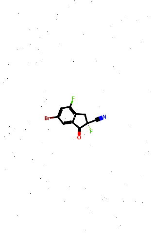 N#C[C@]1(F)Cc2c(F)cc(Br)cc2C1=O